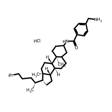 CC(C)CCC[C@@H](C)[C@H]1CC[C@H]2[C@@H]3CCC4CC(NC(=O)c5ccc(CN)cc5)CC[C@]4(C)[C@H]3CC[C@]12C.Cl